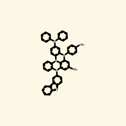 CCCCc1ccc(N2c3cc(N(c4ccccc4)c4ccccc4)ccc3B3c4ccccc4N(c4ccc5oc6ccccc6c5c4)c4cc(C(C)(C)C)cc2c43)cc1